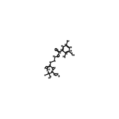 CC(F)(F)C(OC(=O)CCCOC(=O)c1cc(I)cc(I)c1I)C(F)(F)F